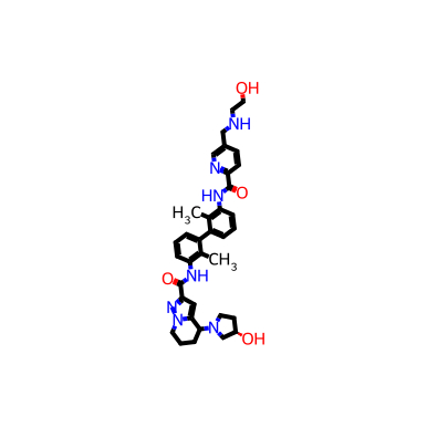 Cc1c(NC(=O)c2ccc(CNCCO)cn2)cccc1-c1cccc(NC(=O)c2cc3n(n2)CCCC3N2CC[C@@H](O)C2)c1C